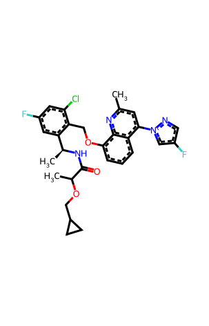 Cc1cc(-n2cc(F)cn2)c2cccc(OCc3c(Cl)cc(F)cc3[C@H](C)NC(=O)C(C)OCC3CC3)c2n1